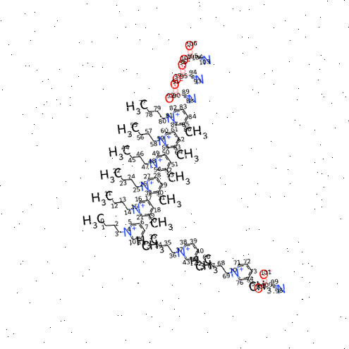 CCCC[n+]1cccc(C)c1.CCCC[n+]1cccc(C)c1.CCCC[n+]1cccc(C)c1.CCCC[n+]1cccc(C)c1.CCCC[n+]1cccc(C)c1.CCCC[n+]1cccc(C)c1.CCCC[n+]1cccc(C)c1.CCCC[n+]1cccc(C)c1.N#CB([O-])[O-].N#CB([O-])[O-].N#CB([O-])[O-].N#CB([O-])[O-]